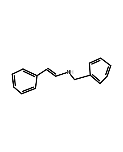 C(=Cc1ccccc1)NCc1ccccc1